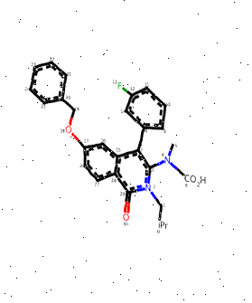 CC(C)Cn1c(N(C)C(=O)O)c(-c2cccc(F)c2)c2cc(OCc3ccccc3)ccc2c1=O